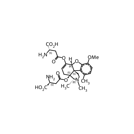 COc1ccc(C)c2c1O[C@H]1C(OC(=O)C[C@H](N)C(=O)O)=CC[C@@]3(OC(=O)C[C@H](N)C(=O)O)[C@@H](C)N(C)CC[C@]213